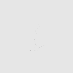 CCCCCC1C(C)CP1C